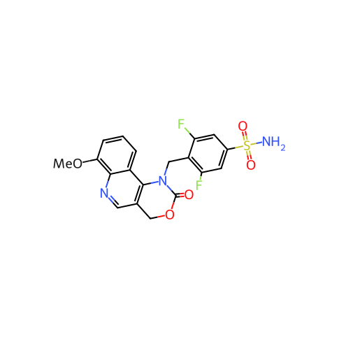 COc1cccc2c3c(cnc12)COC(=O)N3Cc1c(F)cc(S(N)(=O)=O)cc1F